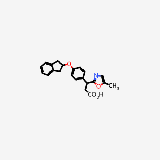 Cc1cnc(C(CC(=O)O)c2ccc(OC3Cc4ccccc4C3)cc2)o1